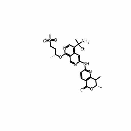 CC[C@@](C)(N)c1cnc(O[C@H](C)CCS(C)(=O)=O)c2cnc(Nc3ccc4c(n3)C(C)[C@H](C)OC4=O)cc12